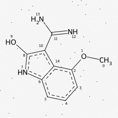 COc1cccc2[nH]c(O)c(C(=N)N)c12